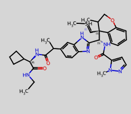 CCNC(=O)[C@H](NC(=O)C(C)c1ccc2nc([C@@H](NC(=O)c3ccnn3C)[C@@]3(/C=[SiH]/C)c4ccccc4OCC3C)[nH]c2c1)C1CCC1